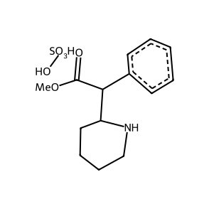 COC(=O)C(c1ccccc1)C1CCCCN1.O=S(=O)(O)O